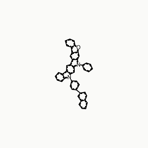 c1ccc(-n2c3cc4oc5ccccc5c4cc3c3cc4c5ccccc5n(-c5ccc(-c6ccc7ccccc7c6)cc5)c4cc32)cc1